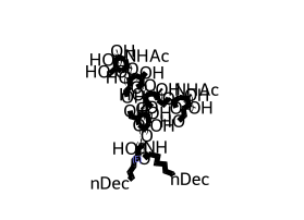 CCCCCCCCCCCCC/C=C/[C@@H](O)[C@H](CO[C@@H]1OC(CO)[C@@H](O[C@@H]2OC(CO[C@@H]3OC(CO)[C@@H](O)[C@H](O)C3NC(C)=O)[C@H](O)[C@H](O[C@H]3OC(CO)[C@H](O)[C@H](O[C@@H]4OC(CO)[C@H](O)[C@H](O)C4NC(C)=O)C3O)C2O)[C@H](O)C1O)NC(=O)CCCCCCCCCCCCCCC